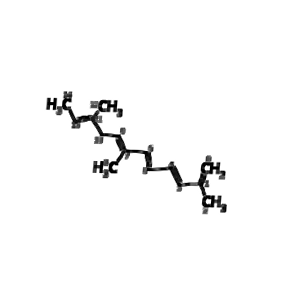 C=C(C)/C=C/C=C/C(C)=C/C/C(C)=C/C